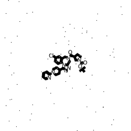 CC(C)(C)OC(=O)N1CCC(C(=O)N2Cc3cc(Cl)ccc3-n3c(nnc3C3CCN(c4ccccn4)CC3)C2)C1